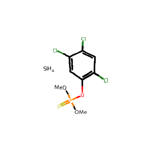 COP(=S)(OC)Oc1cc(Cl)c(Cl)cc1Cl.[SiH4]